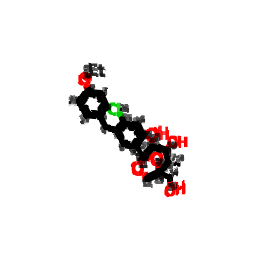 CCOc1ccc(Cc2cc([C@]34OC[C@](CO)(O3)[C@@H](C)[C@H](O)[C@H]4O)ccc2Cl)cc1